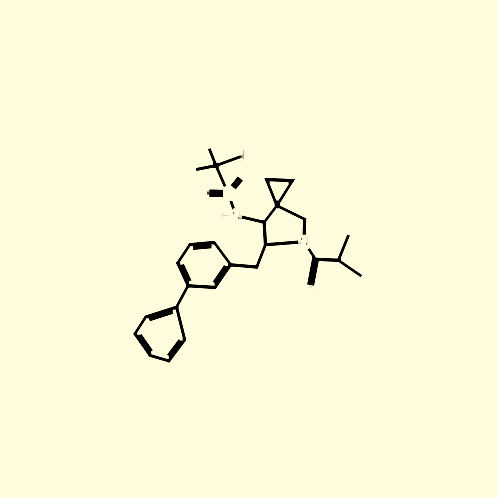 CC(C)C(=O)N1CC2(CC2)C(NS(=O)(=O)C(F)(F)F)C1Cc1cccc(-c2ccccc2)c1